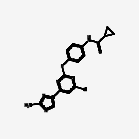 Nc1ncn(-c2cc(Cl)nc(Sc3ccc(NC(=O)C4CC4)cc3)n2)n1